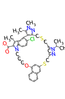 Cc1c(C(=O)O)n2c3ccc(Cl)c(c13)-c1c(nn(C)c1C)CSCc1cc(nn1C(C)C)CSc1cc(c3ccccc3c1)OCCC2